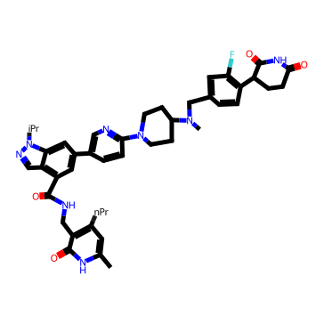 CCCc1cc(C)[nH]c(=O)c1CNC(=O)c1cc(-c2ccc(N3CCC(N(C)Cc4ccc(C5CCC(=O)NC5=O)c(F)c4)CC3)nc2)cc2c1cnn2C(C)C